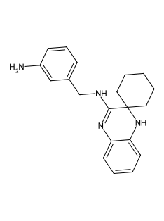 Nc1cccc(CNC2=Nc3ccccc3NC23CCCCC3)c1